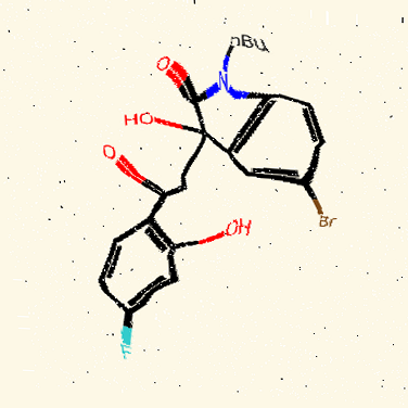 CCCCN1C(=O)C(O)(CC(=O)c2ccc(F)cc2O)c2cc(Br)ccc21